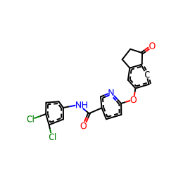 O=C(Nc1ccc(Cl)c(Cl)c1)c1ccc(Oc2ccc3c(c2)CCC3=O)nc1